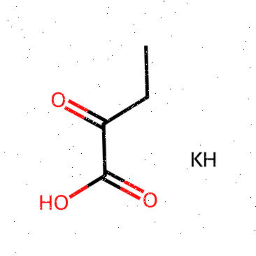 CCC(=O)C(=O)O.[KH]